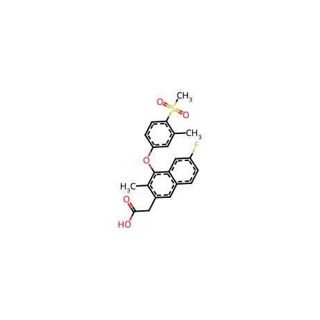 Cc1cc(Oc2c(C)c(CC(=O)O)cc3ccc(F)cc23)ccc1S(C)(=O)=O